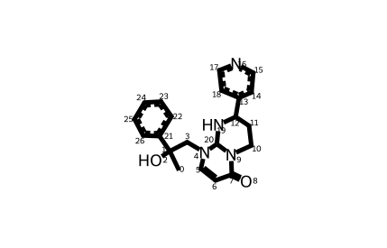 CC(O)(CN1C=CC(=O)N2CCC(c3ccncc3)NC12)c1ccccc1